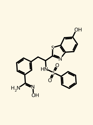 NC(=NO)c1cccc(CC(NS(=O)(=O)c2ccccc2)c2nc3ccc(O)cc3s2)c1